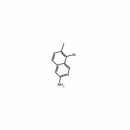 Cc1ccc2cc(N)ncc2c1Br